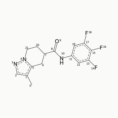 Cc1cnn2c1CC(C(=O)Nc1cc(F)c(F)c(F)c1)CC2